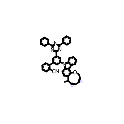 CC1/C=C\C=C/COc2c1ccc1c2c2ccccc2n1-c1cc(-c2nc(-c3ccccc3)nc(-c3ccccc3)n2)cc(-c2ccccc2C#N)c1